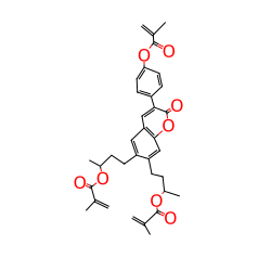 C=C(C)C(=O)Oc1ccc(-c2cc3cc(CCC(C)OC(=O)C(=C)C)c(CCC(C)OC(=O)C(=C)C)cc3oc2=O)cc1